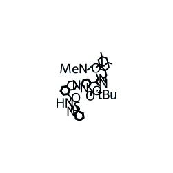 CNCCOC12CC3(C)CC(C)(CC(Cn4ncc(-c5ccc(N6CCc7cccc(C(=O)Nc8nc9ccccc9s8)c7C6)nc5C(=O)OC(C)(C)C)c4C)(C3)C1)C2